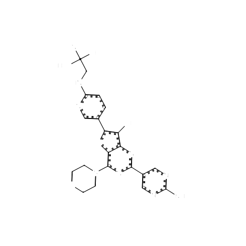 Cc1c(-c2ccc(NCC(C)(C)N)nc2)sc2c(N3CCOCC3)nc(-c3cnc(N)nc3)nc12